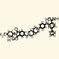 C=C1CCC(N2C(=O)c3ccc(CN4CCC5(CC4)CCN(c4ccc(Nc6nc(-c7nccs7)cnc6C(N)=O)cc4)CC5)cc3C2=O)C(=O)N1